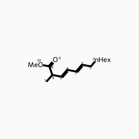 CCCCCCCC=CC=CC(C)C(=O)OC